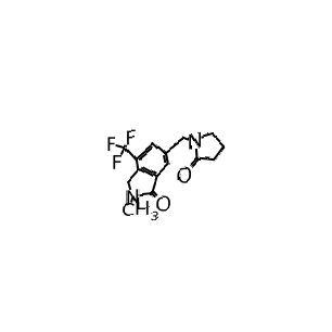 CN1Cc2c(cc(CN3CCCC3=O)cc2C(F)(F)F)C1=O